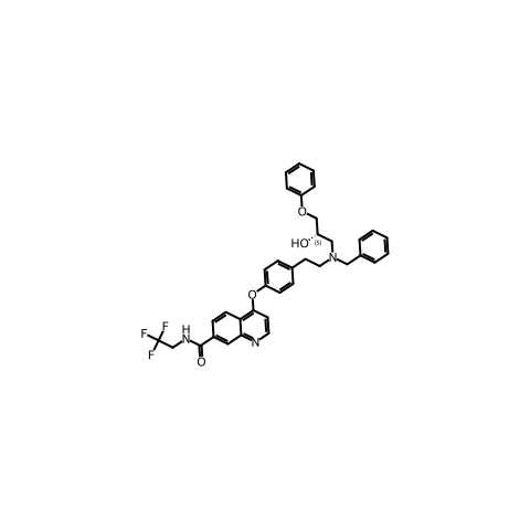 O=C(NCC(F)(F)F)c1ccc2c(Oc3ccc(CCN(Cc4ccccc4)C[C@H](O)COc4ccccc4)cc3)ccnc2c1